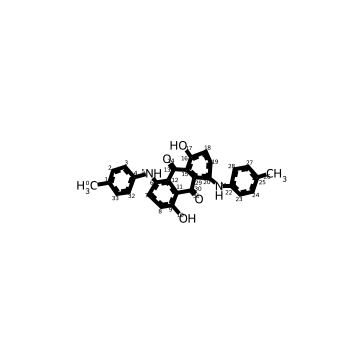 Cc1ccc(Nc2ccc(O)c3c2C(=O)c2c(O)ccc(Nc4ccc(C)cc4)c2C3=O)cc1